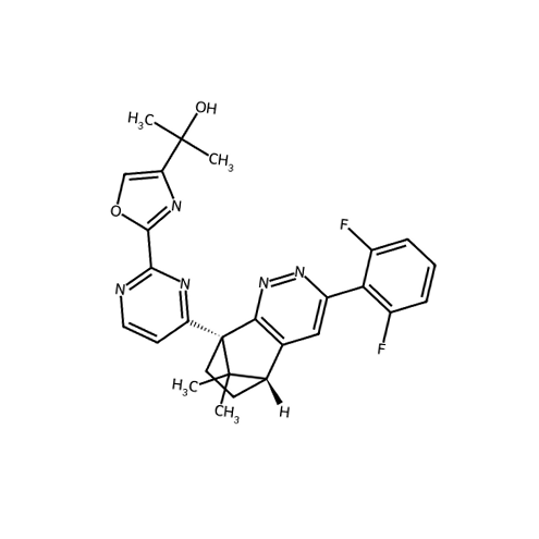 CC(C)(O)c1coc(-c2nccc([C@]34CC[C@@H](c5cc(-c6c(F)cccc6F)nnc53)C4(C)C)n2)n1